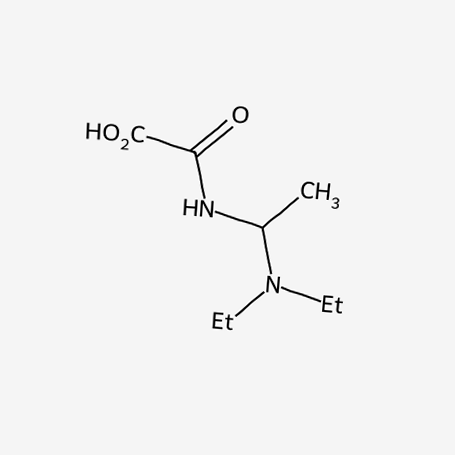 CCN(CC)C(C)NC(=O)C(=O)O